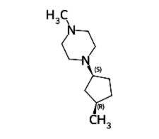 C[C@@H]1CC[C@H](N2CCN(C)CC2)C1